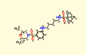 C[C@@H]1CN(S(=O)(=O)c2cccc(NCCCCCNS(=O)(=O)C(C)(C)C)c2)C[C@H](C)O1